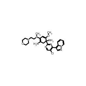 COC1=CC(N(C)CCN2CCOCC2)=C(N)CC1(N)c1ncc(Cl)c(-c2cnn3ccccc23)n1